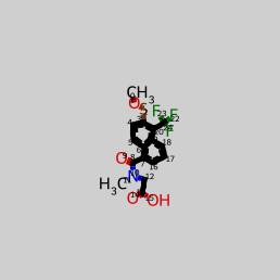 COSc1ccc2c(C(=O)N(C)CC(=O)O)cccc2c1C(F)(F)F